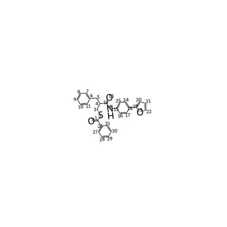 O=C(SCC(Cc1ccccc1)C(=O)Nc1ccc(-c2ccco2)cc1)c1ccccc1